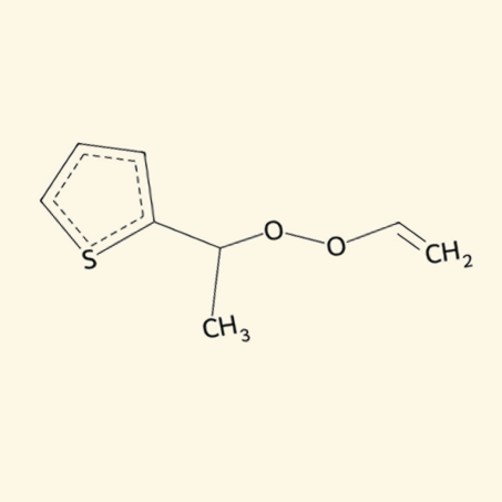 C=COOC(C)c1cccs1